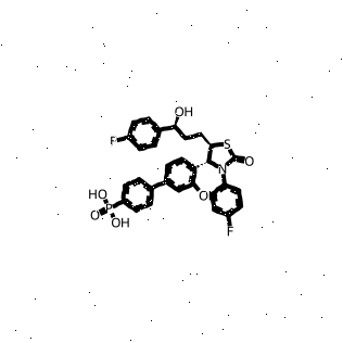 O=C1S[C@H](CC[C@H](O)c2ccc(F)cc2)[C@@H](c2ccc(-c3ccc(P(=O)(O)O)cc3)cc2O)N1c1ccc(F)cc1